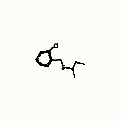 CCC(C)SCc1ccccc1Cl